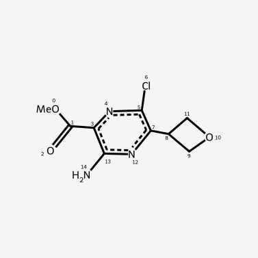 COC(=O)c1nc(Cl)c(C2COC2)nc1N